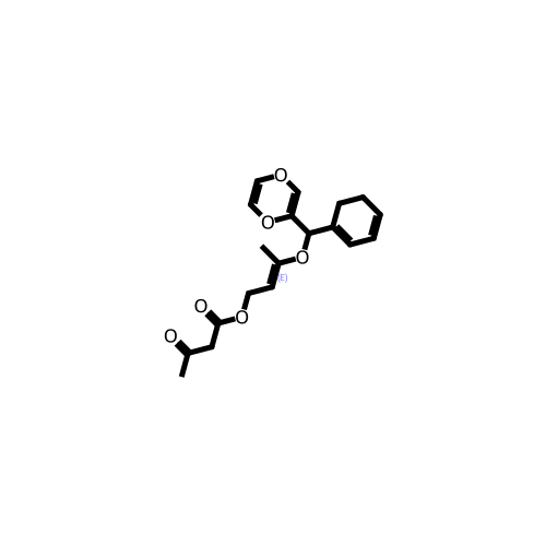 CC(=O)CC(=O)OC/C=C(\C)OC(C1=CC=CCC1)C1=COC=CO1